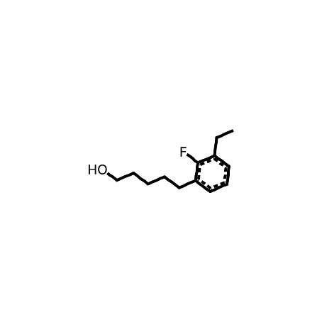 CCc1cccc(CCCCCO)c1F